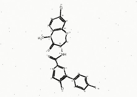 CN1C(=O)[C@@H](NC(=O)c2ncc(Cl)c(-c3ccc(F)cc3)n2)COc2cc(Cl)ccc21